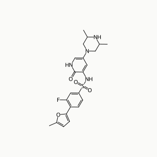 Cc1ccc(-c2ccc(S(=O)(=O)Nc3cc(N4CC(C)NC(C)C4)c[nH]c3=O)cc2F)o1